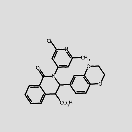 Cc1cc(N2C(=O)c3ccccc3C(C(=O)O)C2c2ccc3c(c2)OCCO3)cc(Cl)n1